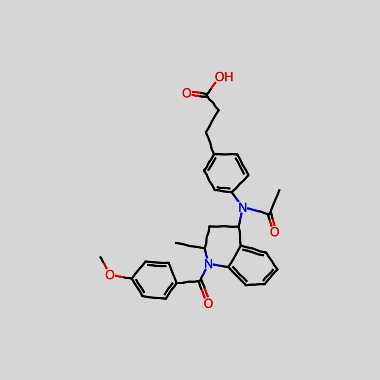 COc1ccc(C(=O)N2c3ccccc3C(N(C(C)=O)c3ccc(CCC(=O)O)cc3)CC2C)cc1